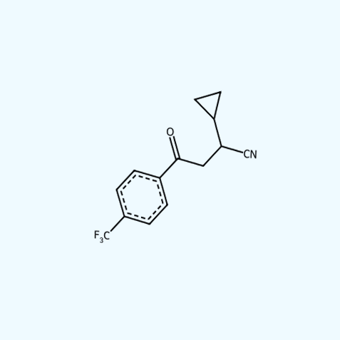 N#CC(CC(=O)c1ccc(C(F)(F)F)cc1)C1CC1